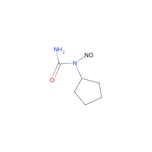 NC(=O)N(N=O)C1CCCC1